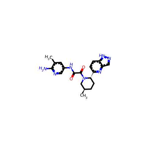 Cc1cc(NC(=O)C(=O)N2C[C@H](C)CC[C@H]2c2ccc3[nH]ncc3n2)cnc1N